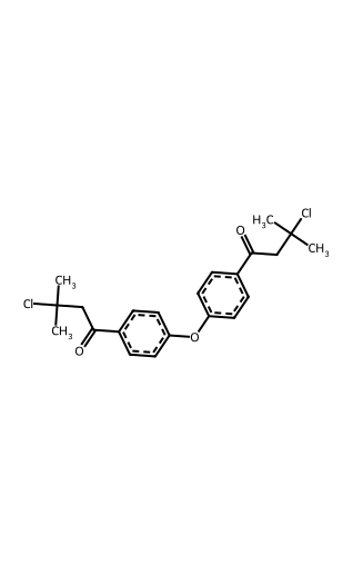 CC(C)(Cl)CC(=O)c1ccc(Oc2ccc(C(=O)CC(C)(C)Cl)cc2)cc1